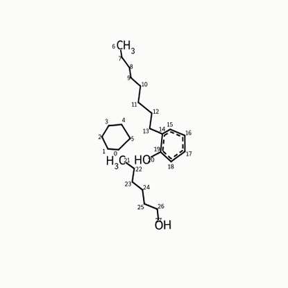 C1CCCCC1.CCCCCCCCc1ccccc1O.CCCCCCO